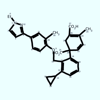 CCn1ccc(-c2ccc(OCc3c(C4CC4)cccc3C3(C(=O)O)C=CC(C)=C(C(=O)O)C3)c(C)c2)n1